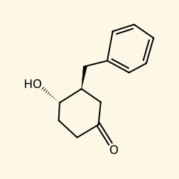 O=C1CC[C@H](O)[C@@H](Cc2ccccc2)C1